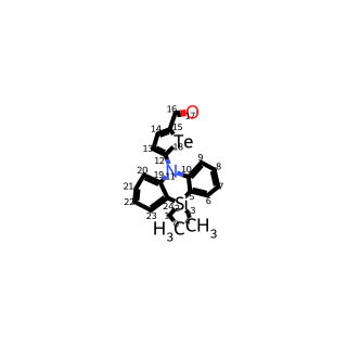 CC[Si]1(CC)c2ccccc2N(c2ccc(C=O)[te]2)c2ccccc21